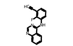 C#Cc1cccc(Nc2ncnc3ccccc23)c1F